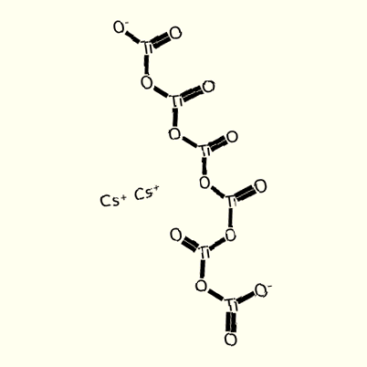 [Cs+].[Cs+].[O]=[Ti]([O-])[O][Ti](=[O])[O][Ti](=[O])[O][Ti](=[O])[O][Ti](=[O])[O][Ti](=[O])[O-]